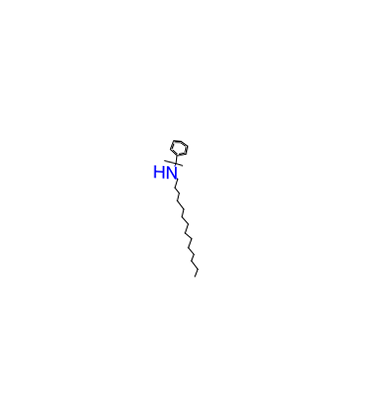 CCCCCCCCCCCCCCNC(C)(C)c1ccccc1